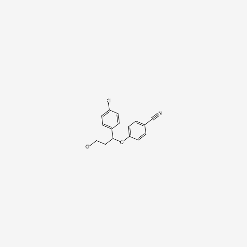 N#Cc1ccc(OC(CCCl)c2ccc(Cl)cc2)cc1